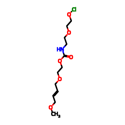 COC/C=C/COCCOC(=O)NCCOCCOCl